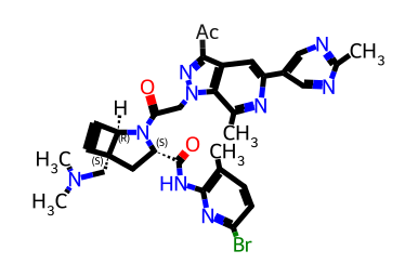 CC(=O)c1nn(CC(=O)N2[C@H](C(=O)Nc3nc(Br)ccc3C)C[C@@]3(CN(C)C)C#C[C@@H]23)c2c(C)nc(-c3cnc(C)nc3)cc12